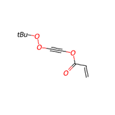 C=CC(=O)OC#COOC(C)(C)C